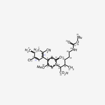 C=C/C(Cl)=C\C(=C(/C)C#N)c1cc(=O)n(C(C(=O)O)C(C)CCCNC(=O)OC(C)(C)C)cc1OC